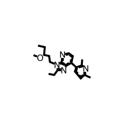 CCc1nc2c(-c3ccc(C)nc3C)ccnc2n1CCC(CC)OC